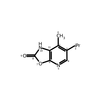 Cc1c(C(C)C)cnc2oc(=O)[nH]c12